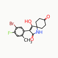 Cc1cc(F)c(Br)cc1C1=C(O)C2(CCC(=O)CC2)NC1=O